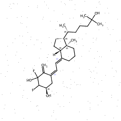 C=C1/C(=C\C=C2/CCC[C@]3(C)[C@@H]([C@H](C)CCCC(C)(C)O)CC[C@@H]23)C[C@@H](O)C(F)C1(O)F